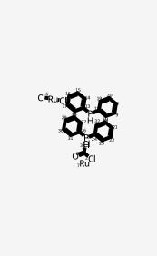 O=C(Cl)Cl.[Cl][Ru][Cl].[Ru].c1ccc(Pc2ccccc2)cc1.c1ccc(Pc2ccccc2)cc1